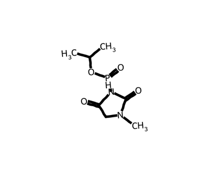 CC(C)O[PH](=O)N1C(=O)CN(C)C1=O